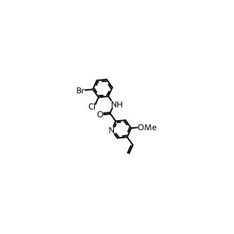 C=Cc1cnc(C(=O)Nc2cccc(Br)c2Cl)cc1OC